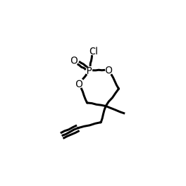 C#CCC1(C)COP(=O)(Cl)OC1